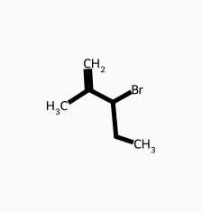 C=C(C)C(Br)CC